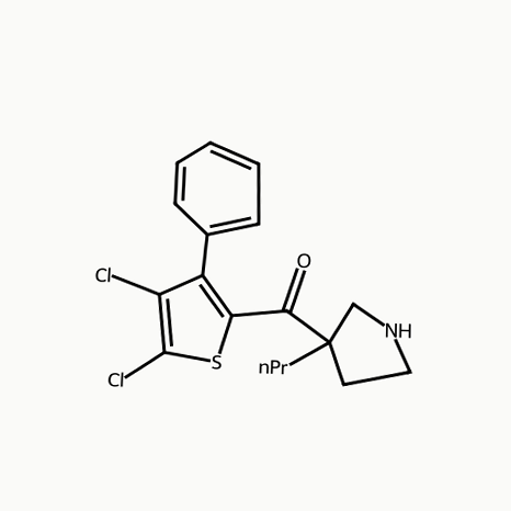 CCCC1(C(=O)c2sc(Cl)c(Cl)c2-c2ccccc2)CCNC1